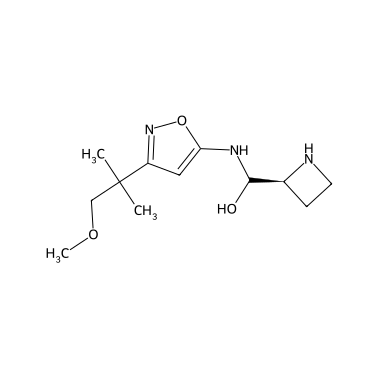 COCC(C)(C)c1cc(NC(O)[C@@H]2CCN2)on1